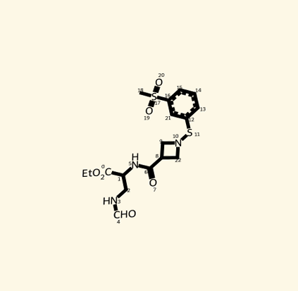 CCOC(=O)C(CNC=O)NC(=O)C1CN(Sc2cccc(S(C)(=O)=O)c2)C1